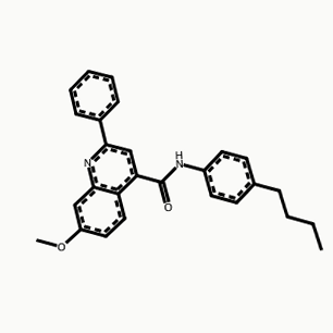 CCCCc1ccc(NC(=O)c2cc(-c3ccccc3)nc3cc(OC)ccc23)cc1